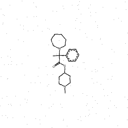 CN1CCC(OC(=O)C(C)(c2ccccc2)N2CCCCCC2)CC1